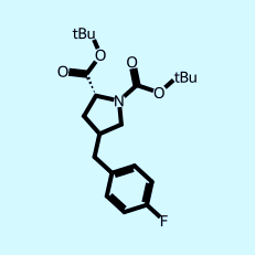 CC(C)(C)OC(=O)[C@H]1CC(Cc2ccc(F)cc2)CN1C(=O)OC(C)(C)C